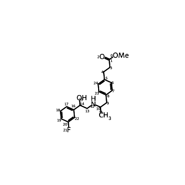 COC(=O)CCc1ccc(CC(C)NCC(O)c2cccc(F)c2)cc1